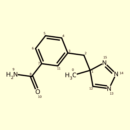 CC1(Cc2cccc(C(N)=O)c2)C=NN=N1